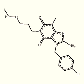 Cn1c(=O)n(CCCOPI)c(=O)c2c1nc(N)n2Cc1ccc(Cl)cc1